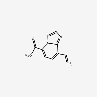 C=Cc1ccc(C(=O)OC)n2ccnc12